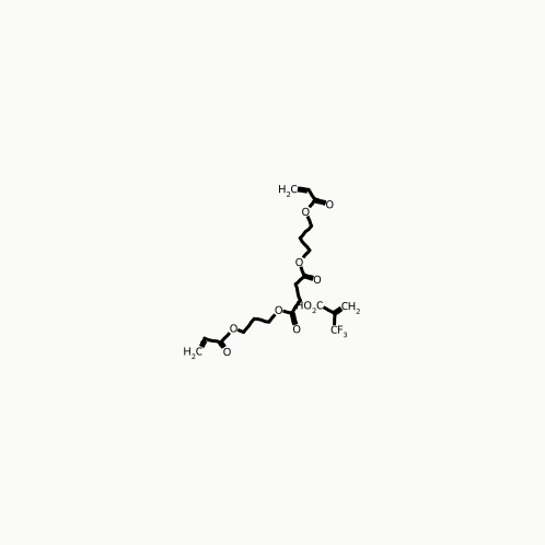 C=C(C(=O)O)C(F)(F)F.C=CC(=O)OCCCOC(=O)CCC(=O)OCCCOC(=O)C=C